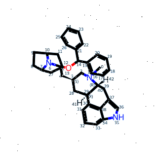 CN1C[C@H](CCN2C3CCC2CC(OC(c2ccccc2)c2ccccc2)C3)C[C@@H]2c3cccc4[nH]cc(c34)C[C@H]21